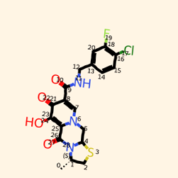 C[C@H]1CSC2Cn3cc(C(=O)NCc4ccc(Cl)c(F)c4)c(=O)c(O)c3C(=O)N21